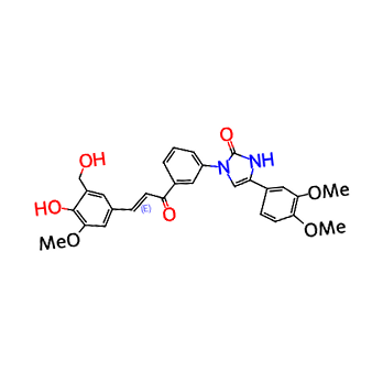 COc1ccc(-c2cn(-c3cccc(C(=O)/C=C/c4cc(CO)c(O)c(OC)c4)c3)c(=O)[nH]2)cc1OC